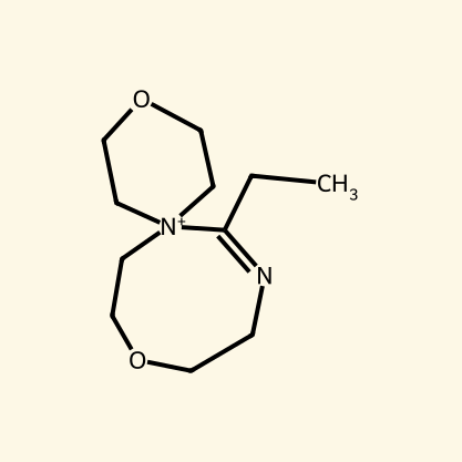 CC/C1=N/CCOCC[N+]12CCOCC2